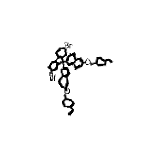 C=Cc1ccc(COc2ccc3cc(C4(c5ccc6cc(OCc7ccc(C=C)cc7)ccc6c5)c5cc(Br)ccc5-c5ccc(Br)cc54)ccc3c2)cc1